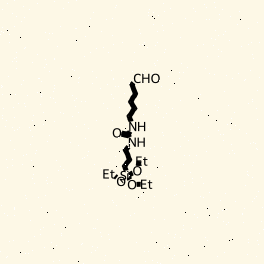 CCO[Si](CCCNC(=O)NCCCCCC=O)(OCC)OCC